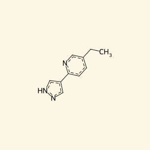 CCc1ccc(-c2cn[nH]c2)nc1